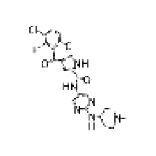 CN1CCC(Nc2ncc(NC(=O)c3cc(C(=O)c4c(Cl)ccc(Cl)c4F)c[nH]3)cn2)CC1